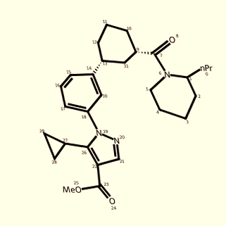 CCCC1CCCCN1C(=O)[C@H]1CCC[C@@H](c2cccc(-n3ncc(C(=O)OC)c3C3CC3)c2)C1